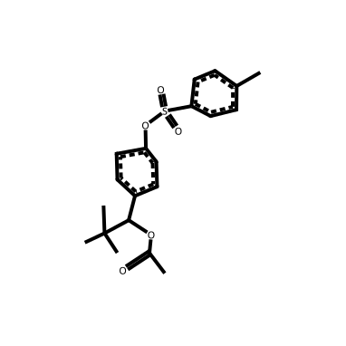 CC(=O)OC(c1ccc(OS(=O)(=O)c2ccc(C)cc2)cc1)C(C)(C)C